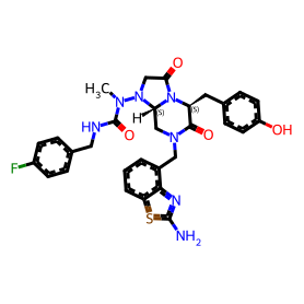 CN(C(=O)NCc1ccc(F)cc1)N1CC(=O)N2[C@@H](Cc3ccc(O)cc3)C(=O)N(Cc3cccc4sc(N)nc34)C[C@@H]21